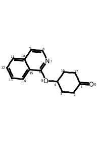 O=C1CCC(Oc2nccc3ccccc23)CC1